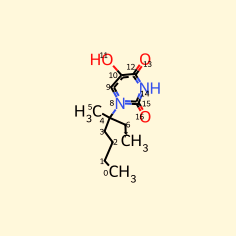 CCCCC(C)(CC)n1cc(O)c(=O)[nH]c1=O